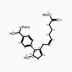 CCCCCC(O)c1ccc([C@H]2C(C/C=C\CCCC(=O)OC)=CC[C@H]2O)cc1